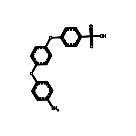 Nc1ccc(Oc2ccc(Oc3ccc(S(=O)(=O)O)cc3)cc2)cc1